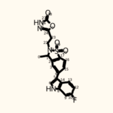 CC1c2cc(-c3c[nH]c4cc(F)ccc34)ccc2S(=O)(=O)N1CCc1n[nH]c(=O)o1